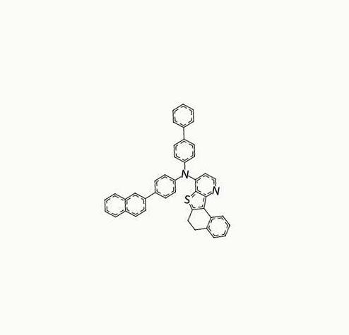 c1ccc(-c2ccc(N(c3ccc(-c4ccc5ccccc5c4)cc3)c3ccnc4c5c(sc34)CCc3ccccc3-5)cc2)cc1